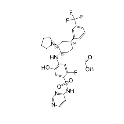 O=CO.O=S(=O)(Nc1ccncn1)c1cc(O)c(N[C@H]2CC[C@H](c3cccc(C(F)(F)F)c3)C[C@@H]2N2CCCC2)cc1F